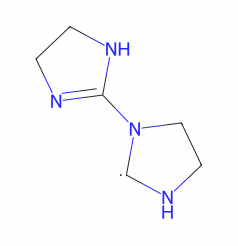 [CH]1NCCN1C1=NCCN1